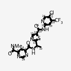 CNC(=O)c1cc(C(=O)NC(C)c2ncc(C(=O)Nc3cc(C(F)(F)F)c(Cl)cn3)s2)ncn1